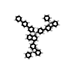 c1ccc(-c2ccc(-c3ccc(N(c4ccc(-c5ccc6c7ccccc7n(-c7ccccc7)c6c5)cc4)c4ccc(-c5ccc6c(c5)c5ccccc5n6-c5ccccc5)c5ccccc45)cc3)cc2)cc1